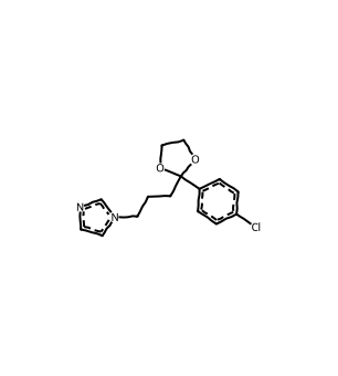 Clc1ccc(C2(CCCn3ccnc3)OCCO2)cc1